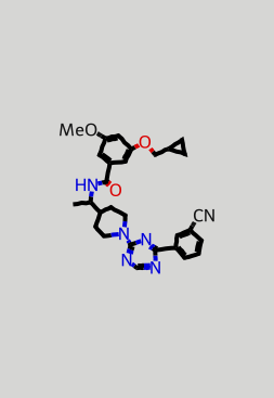 COc1cc(OCC2CC2)cc(C(=O)NC(C)C2CCN(c3ncnc(-c4cccc(C#N)c4)n3)CC2)c1